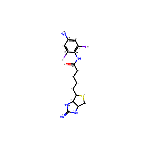 N=C1NC2CSC(CCCCC(=O)Nc3c(I)cc(N)cc3I)C2N1